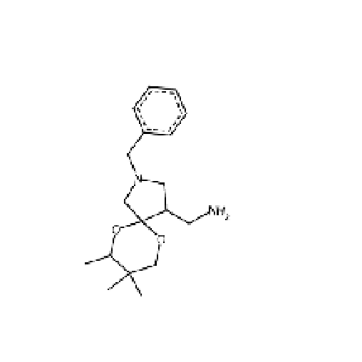 CC1OC2(CN(Cc3ccccc3)CC2CN)OCC1(C)C